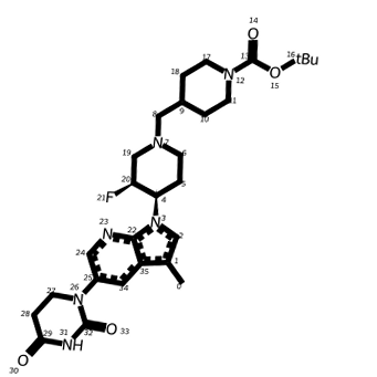 Cc1cn([C@@H]2CCN(CC3CCN(C(=O)OC(C)(C)C)CC3)C[C@@H]2F)c2ncc(N3CCC(=O)NC3=O)cc12